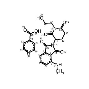 CNc1cccc2c1C(=O)N(C1CCC(=O)N(CCO)C1=O)C2=O.O=C(O)c1ccncc1